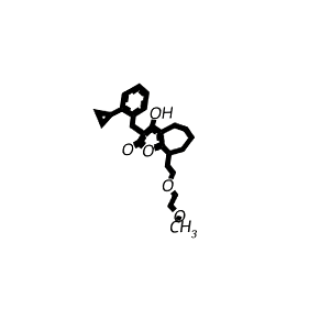 COCCOCCC1CCCCc2c1oc(=O)c(Cc1ccccc1C1CC1)c2O